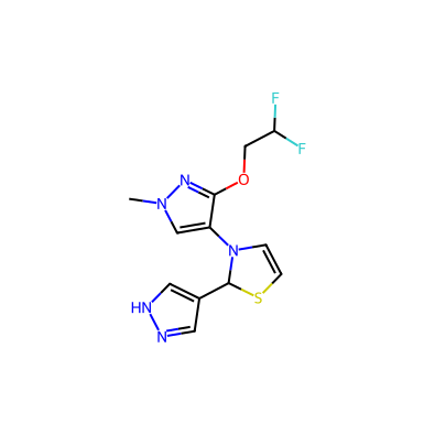 Cn1cc(N2C=CSC2c2cn[nH]c2)c(OCC(F)F)n1